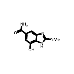 CNc1nc2cc(C(N)=O)cc(O)c2[nH]1